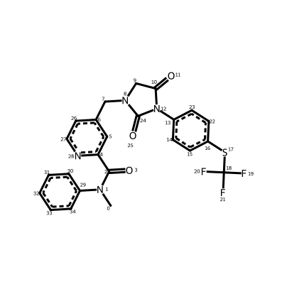 CN(C(=O)c1cc(CN2CC(=O)N(c3ccc(SC(F)(F)F)cc3)C2=O)ccn1)c1ccccc1